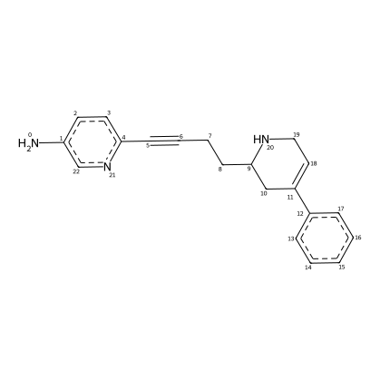 Nc1ccc(C#CCCC2CC(c3ccccc3)=CCN2)nc1